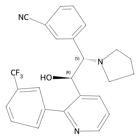 N#Cc1cccc([C@@H]([C@H](O)c2cccnc2-c2cccc(C(F)(F)F)c2)N2CCCC2)c1